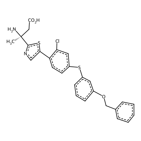 C[C@](N)(CC(=O)O)c1ncc(-c2ccc(Sc3cccc(OCc4ccccc4)c3)cc2Cl)s1